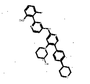 COc1cccc(F)c1-c1nccc(Nc2cc(N3CCC[C@H](O)C3)c(-c3ccc(C4CCOCC4)cc3)cn2)n1